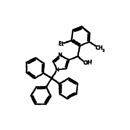 CCc1cccc(C)c1C(O)c1cn(C(c2ccccc2)(c2ccccc2)c2ccccc2)cn1